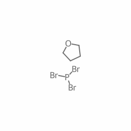 BrP(Br)Br.C1CCOC1